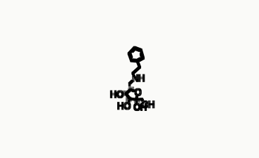 OC[C@@]1(O)O[C@@H](CNCCc2ccccc2)[C@@H](O)[C@@H]1O